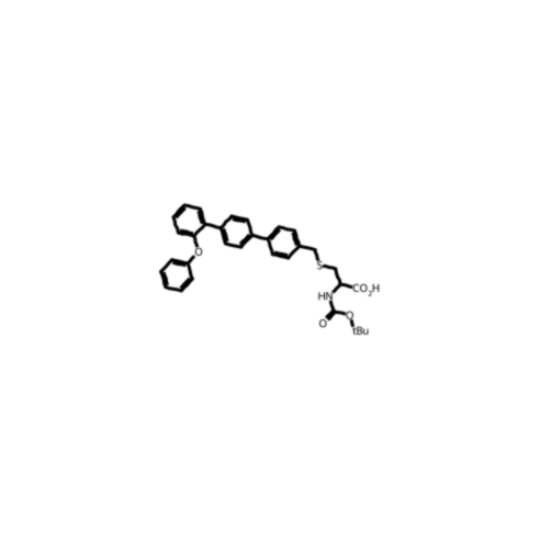 CC(C)(C)OC(=O)NC(CSCc1ccc(-c2ccc(-c3ccccc3Oc3ccccc3)cc2)cc1)C(=O)O